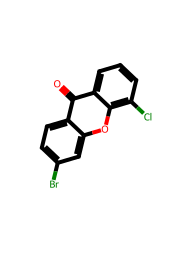 O=c1c2ccc(Br)cc2oc2c(Cl)cccc12